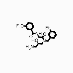 CCc1cccc(CN(C[C@@H](O)CN)C(=O)CNC(=O)c2cccc(C(F)(F)F)c2)c1